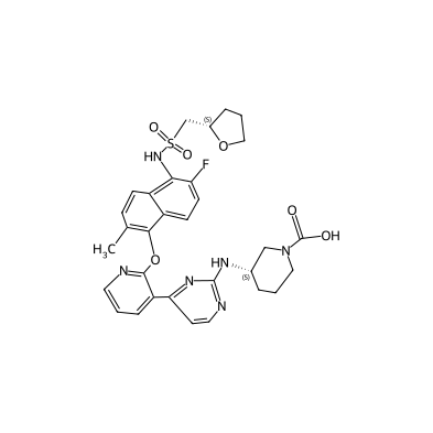 Cc1ccc2c(NS(=O)(=O)C[C@@H]3CCCO3)c(F)ccc2c1Oc1ncccc1-c1ccnc(N[C@H]2CCCN(C(=O)O)C2)n1